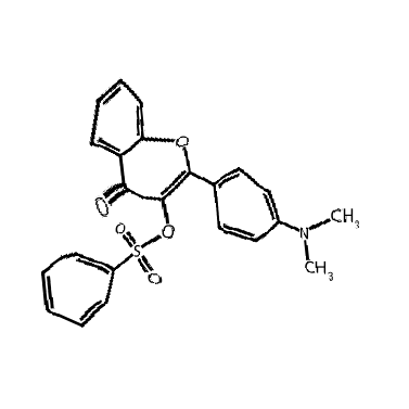 CN(C)c1ccc(-c2oc3ccccc3c(=O)c2OS(=O)(=O)c2ccccc2)cc1